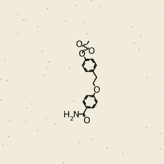 CS(=O)(=O)Oc1ccc(CCOc2ccc(C(N)=O)cc2)cc1